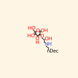 CCCCCCCCCCCCNCC(O)CO[C@@H]1[C@@H](O)[C@@H](O)[C@@H](CO)O[C@H]1O